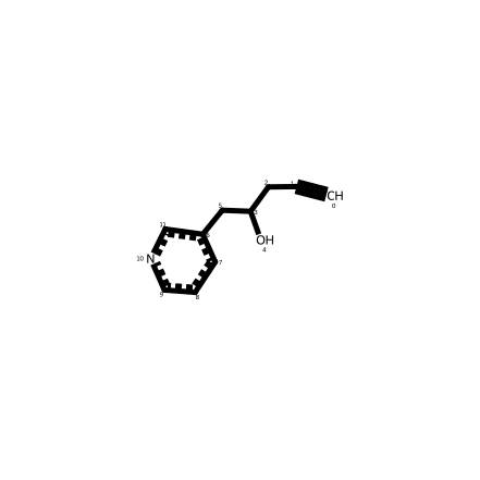 C#CCC(O)Cc1cccnc1